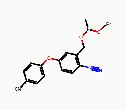 [C-]#[N+]c1ccc(Oc2ccc([N+]#N)c(COB(C)OC(C)C)c2)cc1